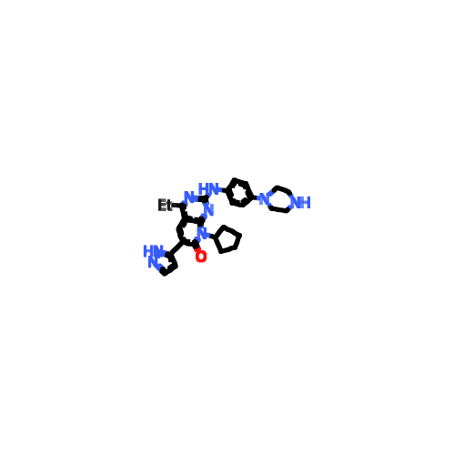 CCc1nc(Nc2ccc(N3CCNCC3)cc2)nc2c1cc(-c1ccn[nH]1)c(=O)n2C1CCCC1